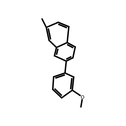 COc1cccc(-c2ccc3ccc(C)cc3c2)c1